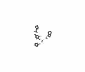 O=C(NC[C@H](NC(=O)c1c(Cl)cc(C(=O)N2CC(c3ccccc3)C2)cc1Cl)C(=O)OCc1ccccc1)N[C@H]1CCc2ccccc21